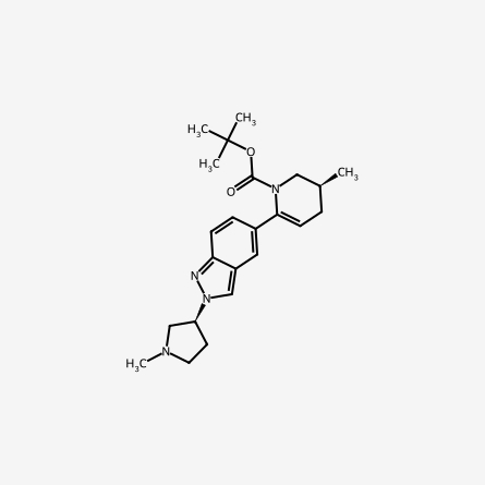 C[C@H]1CC=C(c2ccc3nn([C@H]4CCN(C)C4)cc3c2)N(C(=O)OC(C)(C)C)C1